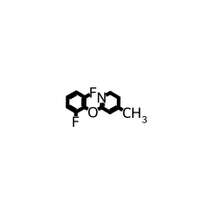 CC1=CC(Oc2c(F)cccc2F)=NCC1